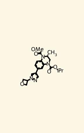 COC(=O)N1c2ccc(-c3cnn(C4COC4)c3)cc2N(C(=O)OC(C)C)C[C@@H]1C